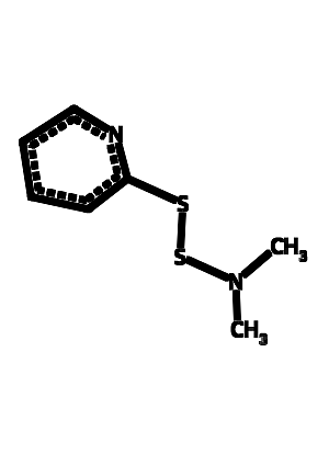 CN(C)SSc1ccccn1